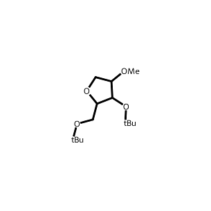 COC1COC(COC(C)(C)C)C1OC(C)(C)C